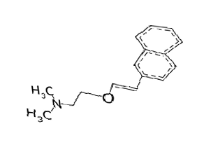 CN(C)CCOC=Cc1ccc2ccccc2c1